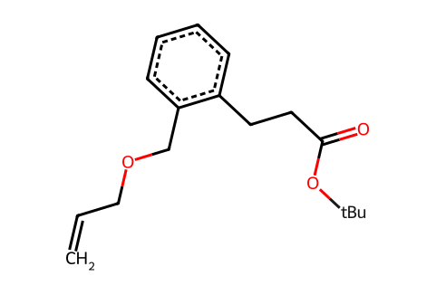 C=CCOCc1ccccc1CCC(=O)OC(C)(C)C